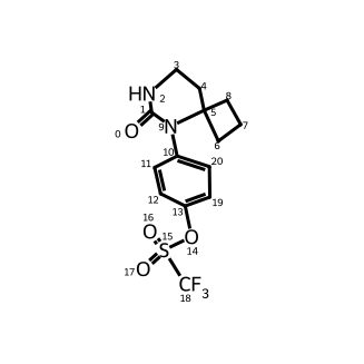 O=C1NCCC2(CCC2)N1c1ccc(OS(=O)(=O)C(F)(F)F)cc1